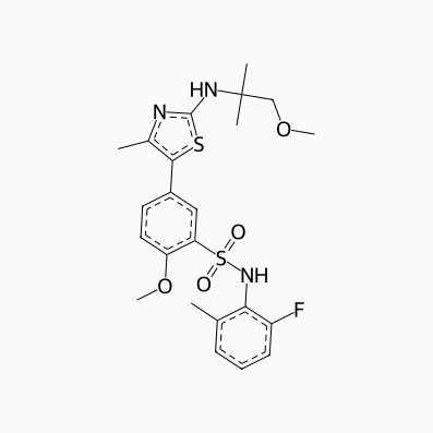 COCC(C)(C)Nc1nc(C)c(-c2ccc(OC)c(S(=O)(=O)Nc3c(C)cccc3F)c2)s1